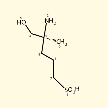 C[C@@](N)(CO)CCCS(=O)(=O)O